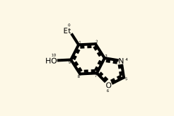 CCc1cc2ncoc2cc1O